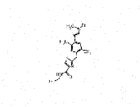 CCN(C)C=Nc1cc(C)c(Cc2nc(C(=O)NCC(C)(C)C)cs2)cc1C